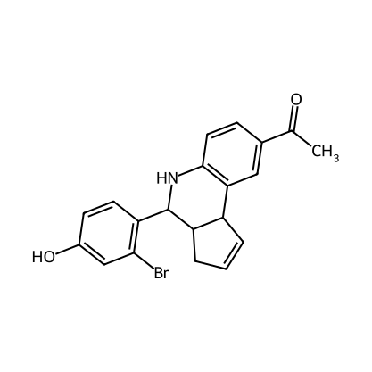 CC(=O)c1ccc2c(c1)C1C=CCC1C(c1ccc(O)cc1Br)N2